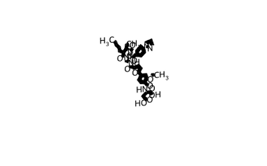 CCCCCC(C(=O)NCNC(=O)c1ccc(-c2ccc(C(=O)NC(CC(=O)O)C(=O)O)c(OCC)c2)o1)C(CC)N(C=O)OC(=O)c1ccc(-n2cccn2)cc1